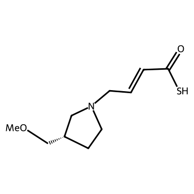 COC[C@H]1CCN(C/C=C/C(=O)S)C1